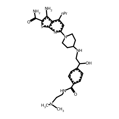 CCCc1cc(N2CCC(NCC(O)c3ccc(C(=O)NCCN(C)C)cc3)CC2)nc2sc(C(N)=O)c(N)c12